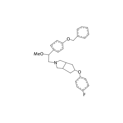 COC(CN1CC2CC(Oc3ccc(F)cc3)CC2C1)c1ccc(OCc2ccccc2)cc1